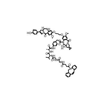 COc1cc2c(cc1OCCCOc1cc3c(cc1OC)C(=O)N1CC4(CC4)C[C@H]1C(O)N3C(=O)OCc1ccc(NC(=O)[C@H](C)NC(=O)[C@@H](NC(=O)CNC(=O)CNC(=O)CCC(=O)N3Cc4ccccc4C#Cc4ccccc43)C(C)C)cc1)NC[C@@H]1CC(c3ccc(O)cc3)=CN1C2=O